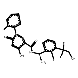 C[C@@H](NC(=O)c1nn(-c2ccccc2F)c(=O)cc1O)c1cccc(C(F)(F)CO)c1F